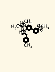 Cc1ccc(Cc2cnnn2-c2cc(-c3cccc(S(C)(=O)=O)c3)ccc2-n2cc(C)nc2C)cc1